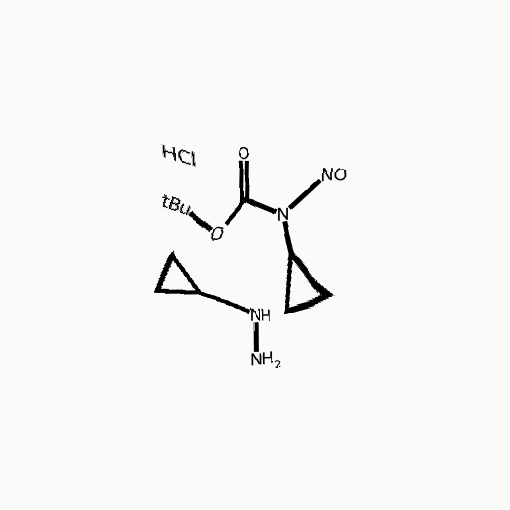 CC(C)(C)OC(=O)N(N=O)C1CC1.Cl.NNC1CC1